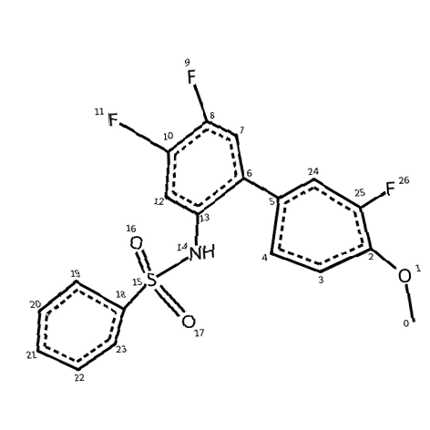 COc1ccc(-c2cc(F)c(F)cc2NS(=O)(=O)c2ccccc2)cc1F